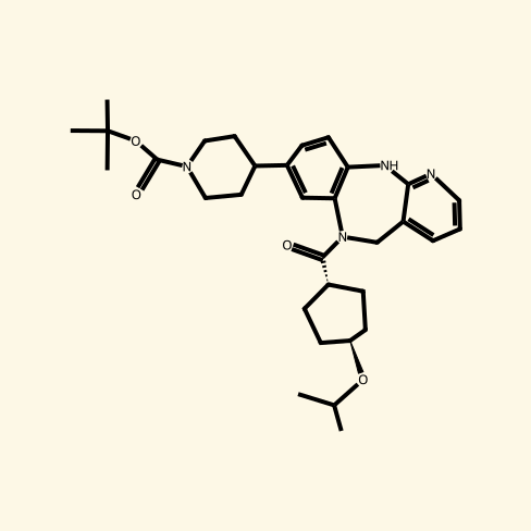 CC(C)O[C@H]1CC[C@H](C(=O)N2Cc3cccnc3Nc3ccc(C4CCN(C(=O)OC(C)(C)C)CC4)cc32)CC1